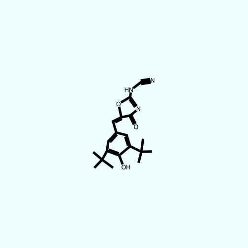 CC(C)(C)c1cc(C=C2OC(NC#N)=NC2=O)cc(C(C)(C)C)c1O